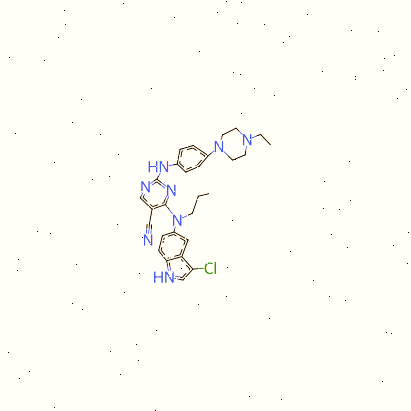 CCCN(c1ccc2[nH]cc(Cl)c2c1)c1nc(Nc2ccc(N3CCN(CC)CC3)cc2)ncc1C#N